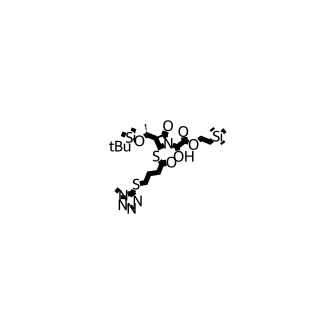 C[C@@H](O[Si](C)(C)C(C)(C)C)[C@H]1C(=O)N(C(O)C(=O)OCC[Si](C)(C)C)[C@@H]1SC(=O)CCCSc1nnnn1C